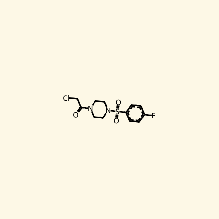 O=C(CCl)N1CCN(S(=O)(=O)c2ccc(F)cc2)CC1